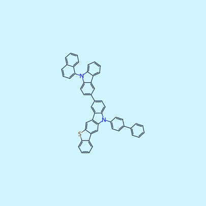 c1ccc(-c2ccc(-n3c4ccc(-c5ccc6c(c5)c5ccccc5n6-c5cccc6ccccc56)cc4c4cc5sc6ccccc6c5cc43)cc2)cc1